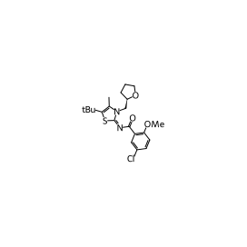 COc1ccc(Cl)cc1C(=O)N=c1sc(C(C)(C)C)c(C)n1C[C@H]1CCCO1